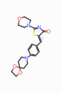 O=C1N=C(N2CCOCC2)S/C1=C\c1ccc(N2CCC3(CC2)OCCO3)cc1